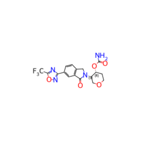 NC(=O)O[C@@H]1CCOC[C@@H]1N1Cc2ccc(-c3noc(C(F)(F)F)n3)cc2C1=O